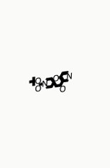 CC(C)(C)OC(=O)N1CCC2(CC1)CC(=O)c1cnccc1O2